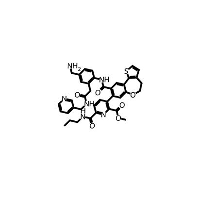 CCCNC(=O)c1ccc(-c2cc3c(cc2C(=O)Nc2ccc(CN)cc2CC(=O)NCc2cccnc2)-c2sccc2CCO3)c(C(=O)OC)n1